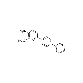 Nc1ccc(-c2ccc(-c3ccccc3)cc2)nc1C(=O)O